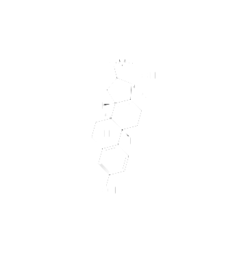 COC1C[C@H]2[C@@H]3CCc4cc(O)ccc4[C@H]3CC[C@]2(C)[C@H]1O